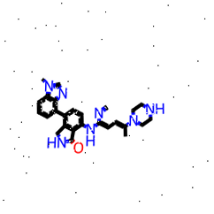 C=N/C(=C\C=C(/C)N1CCNCC1)Nc1ccc(-c2cccc3c2ncn3C)c2c1C(=O)NC2